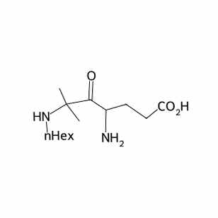 CCCCCCNC(C)(C)C(=O)C(N)CCC(=O)O